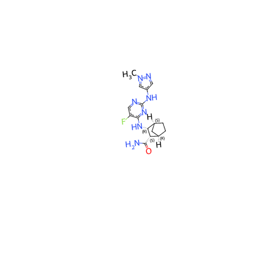 Cn1cc(Nc2ncc(F)c(N[C@@H]3[C@H]4CC[C@H](C4)[C@@H]3C(N)=O)n2)cn1